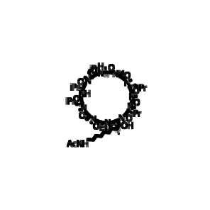 C=C1C(=O)N(C)[C@@H](CC(C)C)C(=O)N[C@@H](C(C)C)C(=O)N(C)[C@@H](CC(C)C)C(=O)N[C@@H](C)C(=O)N[C@@H](C)C(=O)N(C)[C@H](CC(C)C)C(=O)N(C)C(=O)N(C)[C@@H](C(C)C)C(=O)N(C)C([C@H](O)[C@H](C)CCCCCCCNC(C)=O)C(=O)N[C@@H](CC)C(=O)N1C